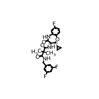 CC(C)(C(=O)NCc1cc(F)cc(F)c1)C(=O)N[C@@H]1C(=O)Nc2cc(F)ccc2O[C@@H]1C1CC1